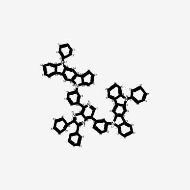 c1ccc(-c2nc3c(-c4cccc(-n5c6ccccc6c6cc7c(cc65)c5ccccc5n7-c5ccccc5)c4)cnc(-c4cccc(-n5c6ccccc6c6cc7c(cc65)c5ccccc5n7-c5ccccc5)c4)c3nc2-c2ccccc2)cc1